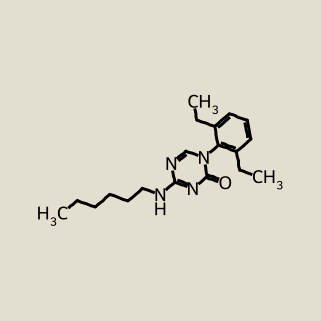 CCCCCCNc1ncn(-c2c(CC)cccc2CC)c(=O)n1